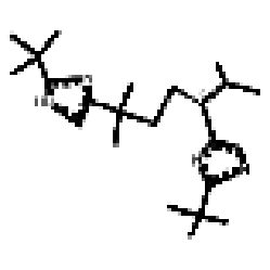 CC(C)[C@H](CCC(C)(C)c1c[nH]c(C(C)(C)C)n1)c1cnc(C(C)(C)C)[nH]1